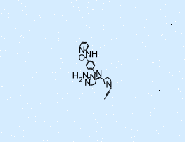 CC#CCN1CCC(c2nc(-c3ccc(C(=O)Nc4ccccn4)cc3)n3c(N)nccc23)C1